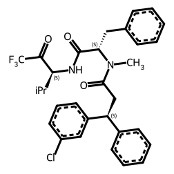 CC(C)[C@H](NC(=O)[C@H](Cc1ccccc1)N(C)C(=O)C[C@@H](c1ccccc1)c1cccc(Cl)c1)C(=O)C(F)(F)F